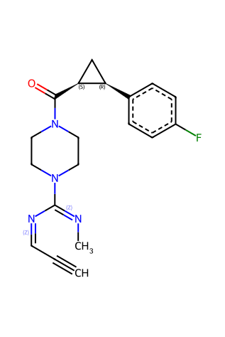 C#C/C=N\C(=N/C)N1CCN(C(=O)[C@H]2C[C@H]2c2ccc(F)cc2)CC1